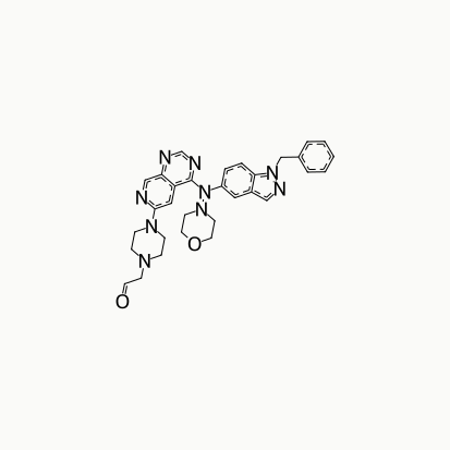 O=CCN1CCN(c2cc3c(N(c4ccc5c(cnn5Cc5ccccc5)c4)N4CCOCC4)ncnc3cn2)CC1